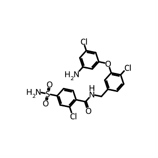 Nc1cc(Cl)cc(Oc2cc(CNC(=O)c3ccc(S(N)(=O)=O)cc3Cl)ccc2Cl)c1